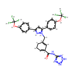 O=C(Nc1nn[nH]n1)C1=CCCC(Cn2nc(-c3ccc(OC(F)(F)F)cc3)cc2-c2ccc(OC(F)(F)F)cc2)=C1